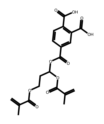 C=C(C)C(=O)OCCC(OC(=O)C(=C)C)OC(=O)c1ccc(C(=O)O)c(C(=O)O)c1